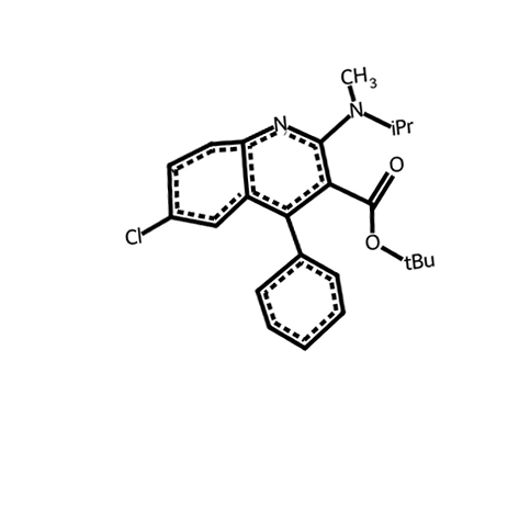 CC(C)N(C)c1nc2ccc(Cl)cc2c(-c2ccccc2)c1C(=O)OC(C)(C)C